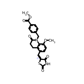 COC(=O)c1ccc(CN2C(=O)CCc3c(/C=C4/SC(=O)NC4=O)ccc(OC)c32)cc1